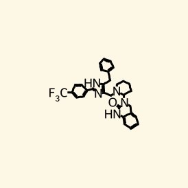 O=C1Nc2ccccc2CN1C1CCCCN1Cc1nc(-c2ccc(C(F)(F)F)cc2)[nH]c1Cc1ccccc1